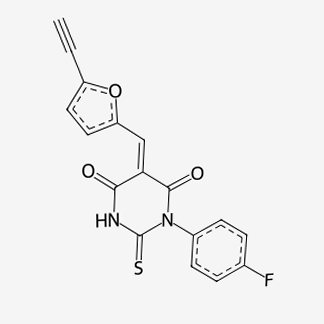 C#Cc1ccc(/C=C2\C(=O)NC(=S)N(c3ccc(F)cc3)C2=O)o1